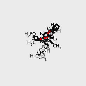 BOC(=O)CCO/N=C(\C(=O)N[C@@H]1C(=O)N2C=C(C[N@+]3(C)[C@@H]4CC[C@H]3C[C@@H](NC(=O)c3cc(F)c(OCCCC)c(OCCCC)c3F)C4)CS[C@H]12)c1csc(NC(=O)OC(C)(C)C)n1